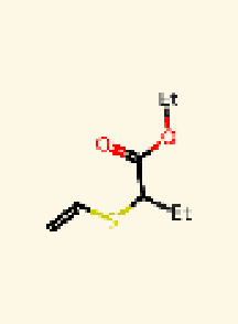 C=CSC(CC)C(=O)OCC